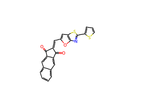 O=C1C(=Cc2cc3sc(-c4cccs4)nc3o2)C(=O)c2cc3ccccc3cc21